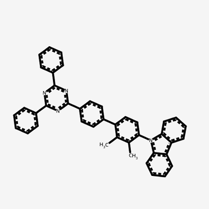 Cc1c(-c2ccc(-c3nc(-c4ccccc4)nc(-c4ccccc4)n3)cc2)ccc(-n2c3ccccc3c3ccccc32)c1C